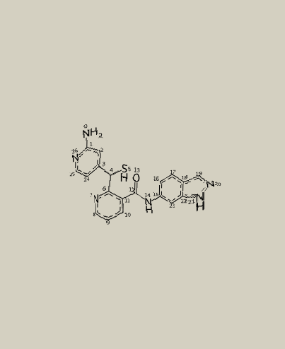 Nc1cc(C(S)c2ncccc2C(=O)Nc2ccc3cn[nH]c3c2)ccn1